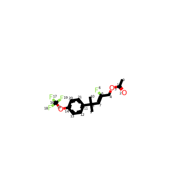 CC(=O)OC/C(F)=C/C(C)(C)c1ccc(OC(F)(F)F)cc1